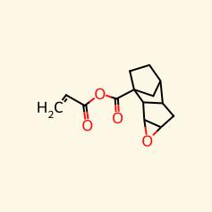 C=CC(=O)OC(=O)C12CCC(C1)C1CC3OC3C12